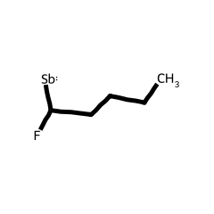 CCCC[CH](F)[Sb]